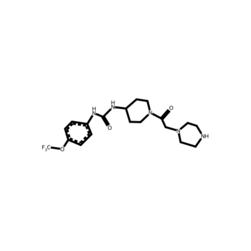 O=C(Nc1ccc(OC(F)(F)F)cc1)NC1CCN(C(=O)CN2CCNCC2)CC1